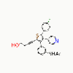 CC(=O)Nc1cccc(-c2c(C#CCCO)sc(-c3ccc(F)cc3)c2-c2ccncc2)c1